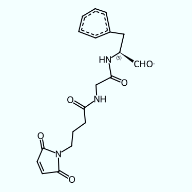 O=[C][C@H](Cc1ccccc1)NC(=O)CNC(=O)CCCN1C(=O)C=CC1=O